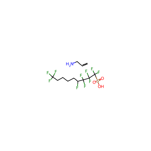 C=CCN.O=S(=O)(O)C(F)(F)C(F)(F)C(F)(F)C(F)CCCCC(F)(F)F